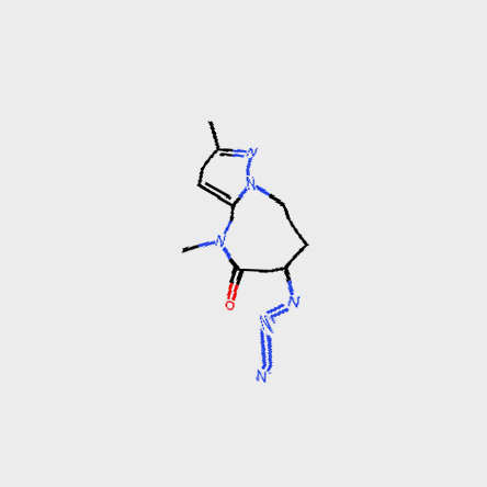 Cc1cc2n(n1)CCC(N=[N+]=[N-])C(=O)N2C